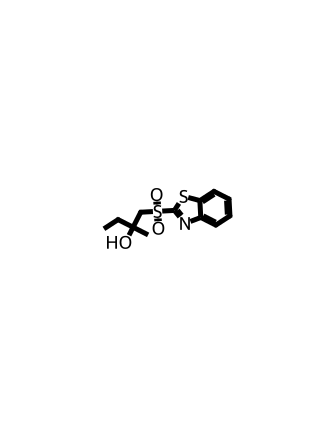 CCC(C)(O)CS(=O)(=O)c1nc2ccccc2s1